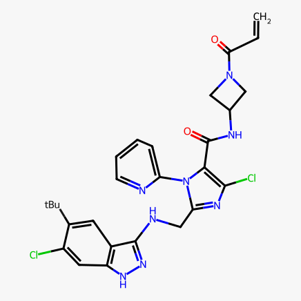 C=CC(=O)N1CC(NC(=O)c2c(Cl)nc(CNc3n[nH]c4cc(Cl)c(C(C)(C)C)cc34)n2-c2ccccn2)C1